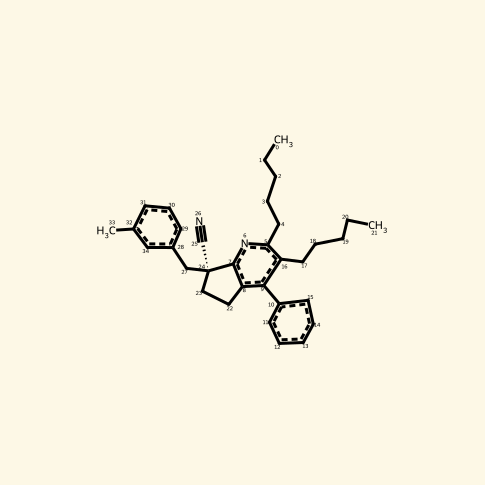 CCCCCc1nc2c(c(-c3ccccc3)c1CCCCC)CC[C@@]2(C#N)Cc1cccc(C)c1